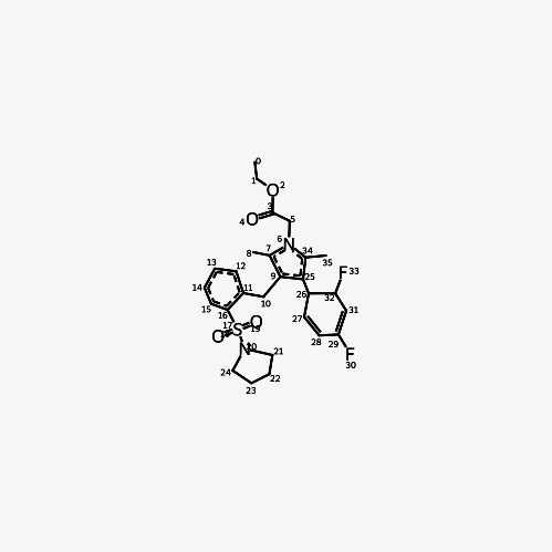 CCOC(=O)Cn1c(C)c(Cc2ccccc2S(=O)(=O)N2CCCC2)c(C2C=CC(F)=CC2F)c1C